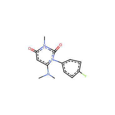 CN(C)c1cc(=O)n(C)c(=O)n1-c1ccc(F)cc1